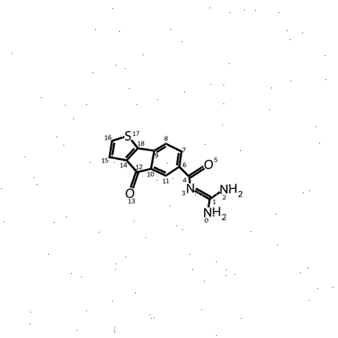 NC(N)=NC(=O)c1ccc2c(c1)C(=O)c1ccsc1-2